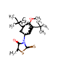 C=C1SC(=S)N(c2cc(C(C)(C)C)c(OC)c(C(C)(C)C)c2)C1=O